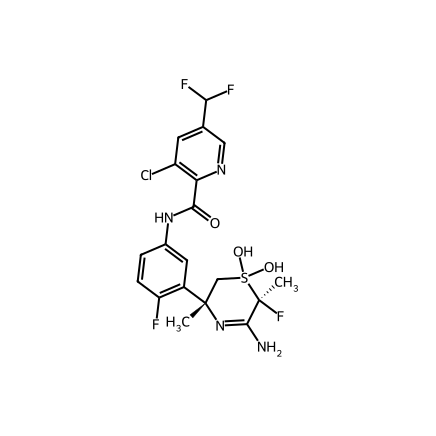 C[C@]1(F)C(N)=N[C@](C)(c2cc(NC(=O)c3ncc(C(F)F)cc3Cl)ccc2F)CS1(O)O